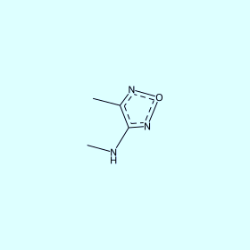 CNc1nonc1C